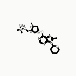 Cc1nc2c(O[C@@H]3C[C@@H](CO[Si](C)(C)C(C)(C)C)[C@@H](C)C3)ncnc2n1C1CCCCO1